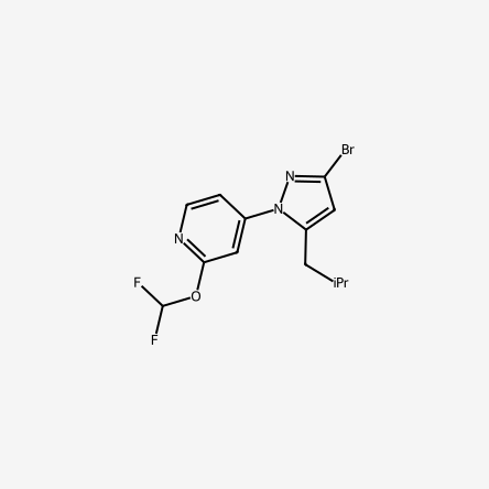 CC(C)Cc1cc(Br)nn1-c1ccnc(OC(F)F)c1